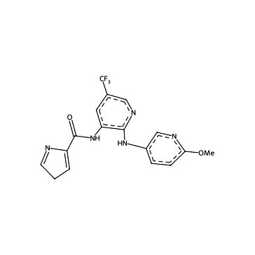 COc1ccc(Nc2ncc(C(F)(F)F)cc2NC(=O)C2=CCC=N2)cn1